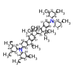 Cc1cccc(N(c2cc(C)cc(C)c2)c2ccc3c(c2)C(C)(C)c2cc4c(cc2-3)C(C)(C)c2cc3c(cc2-4)C(C)c2cc(N(c4cc(C)cc(C)c4)c4cc(C)cc(C)c4)ccc2-3)c1